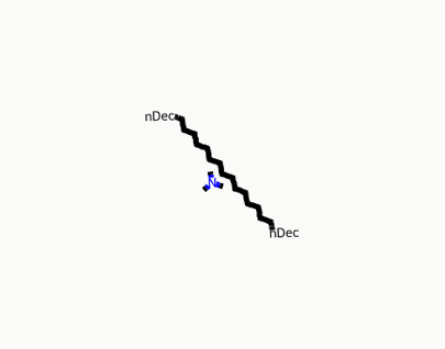 CCCCCCCCCCCCCCCCCCCCCCCCCCCCCCCCCCC.CN(C)C